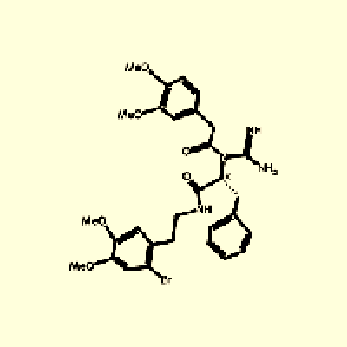 COc1ccc(CC(=O)N(C(=N)N)[C@H](Cc2ccccc2)C(=O)NCCc2cc(OC)c(OC)cc2Br)cc1OC